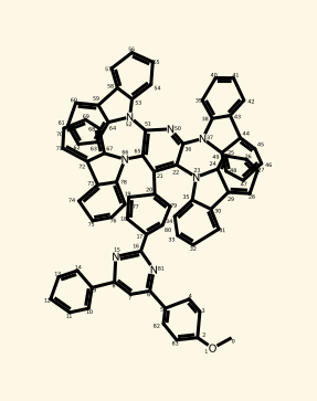 COc1ccc(-c2cc(-c3ccccc3)nc(-c3ccc(-c4c(-n5c6ccccc6c6ccccc65)c(-n5c6ccccc6c6ccccc65)nc(-n5c6ccccc6c6ccccc65)c4-n4c5ccccc5c5ccccc54)cc3)n2)cc1